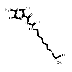 C[C@@H](N)COCCCCCCNC(=N)NC(=O)c1nc(Cl)c(N)nc1N